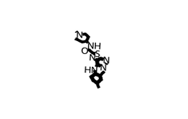 Cc1ccc(Nc2ncnc3sc(C(=O)NC4CCN(C)CC4)nc23)c(C)c1